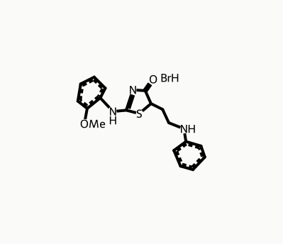 Br.COc1ccccc1NC1=NC(=O)C(CCNc2ccccc2)S1